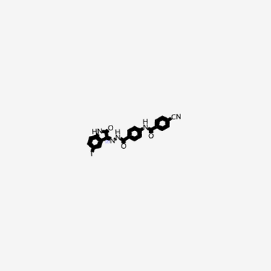 N#Cc1ccc(C(=O)Nc2ccc(C(=O)N/N=C3\C(=O)Nc4ccc(I)cc43)cc2)cc1